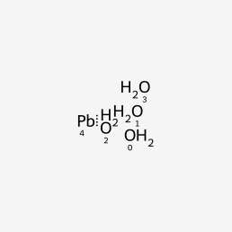 O.O.O.O.[Pb]